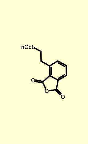 CCCCCCCCCCc1cccc2c1C(=O)OC2=O